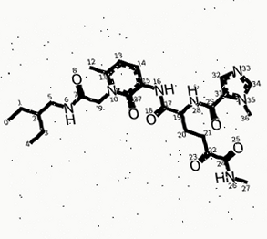 CCC(CC)CNC(=O)Cn1c(C)ccc(NC(=O)C(CCC(=O)C(=O)NC)NC(=O)c2cncn2C)c1=O